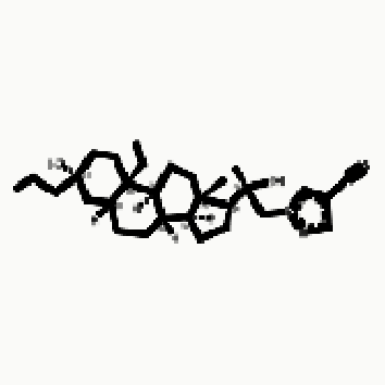 CCC[C@@]1(O)CC[C@@]2(CC)[C@H](CC[C@H]3[C@@H]4CC[C@H]([C@](C)(O)Cn5cc(C#N)cn5)[C@@]4(C)CC[C@@H]32)C1